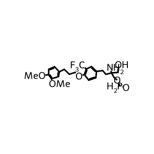 COc1ccc(CCCOc2ccc(CCC(N)(CO)CO[PH2]=O)cc2C(F)(F)F)cc1OC